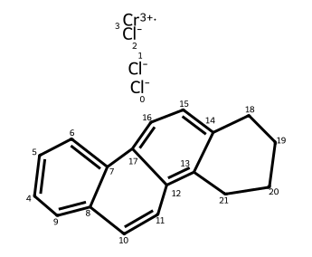 [Cl-].[Cl-].[Cl-].[Cr+3].c1ccc2c(c1)ccc1c3c(ccc12)CCCC3